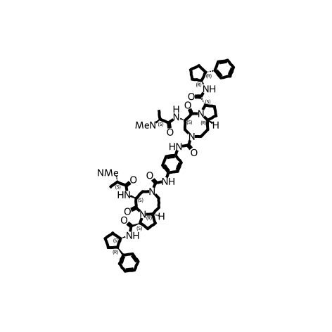 CN[C@@H](C)C(=O)N[C@H]1CN(C(=O)Nc2ccc(NC(=O)N3CC[C@H]4CC[C@@H](C(=O)N[C@@H]5CCC[C@@H]5c5ccccc5)N4C(=O)[C@@H](NC(=O)[C@H](C)NC)C3)cc2)CC[C@H]2CC[C@@H](C(=O)N[C@H]3CCC[C@@H]3c3ccccc3)N2C1=O